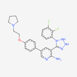 Nc1ncc(-c2ccc(OCCN3CCCC3)cc2)cc1C1=NNNN1c1cccc(F)c1F